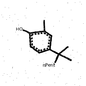 CCCCCC(C)(C)c1ccc(O)c(C)c1